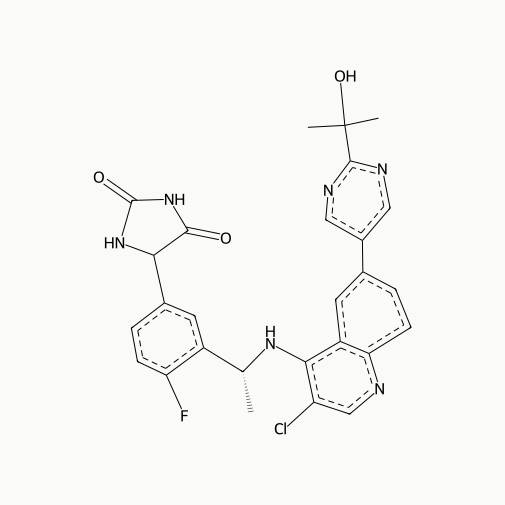 C[C@@H](Nc1c(Cl)cnc2ccc(-c3cnc(C(C)(C)O)nc3)cc12)c1cc(C2NC(=O)NC2=O)ccc1F